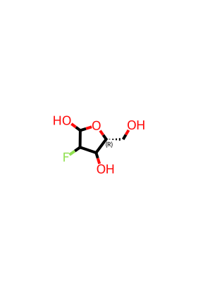 OC[C@H]1OC(O)C(F)C1O